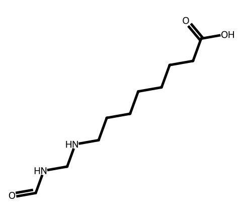 O=CNCNCCCCCCCC(=O)O